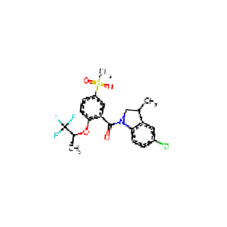 CC1CN(C(=O)c2cc(S(C)(=O)=O)ccc2O[C@@H](C)C(F)(F)F)c2ccc(Cl)cc21